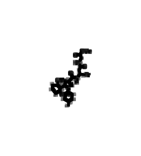 COC(=O)CNC(=O)CC(NC(=O)c1cc(-c2c(OC)cccc2OC)n(-c2ccc(C)cc2)n1)C(C)C